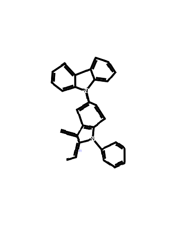 C=c1/c(=C\C)n(-c2ccccc2)c2ccc(-n3c4ccccc4c4ccccc43)cc12